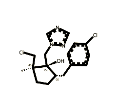 C[C@@]1(CCl)CC[C@@H](Cc2ccc(Cl)cc2)[C@@]1(O)Cn1cncn1